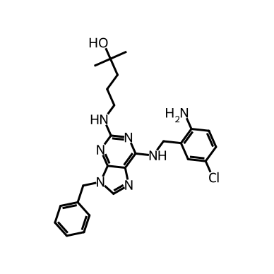 CC(C)(O)CCCNc1nc(NCc2cc(Cl)ccc2N)c2ncn(Cc3ccccc3)c2n1